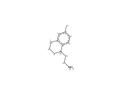 Cc1ccc2c(c1)OCCN2CCN